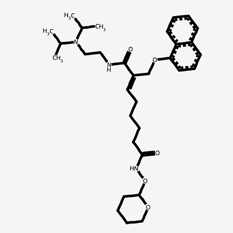 CC(C)N(CCNC(=O)/C(=C/CCCCC(=O)NOC1CCCCO1)COc1cccc2ccccc12)C(C)C